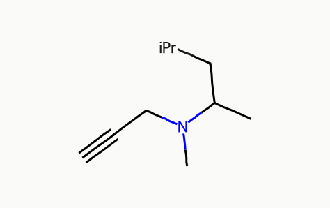 C#CCN(C)C(C)CC(C)C